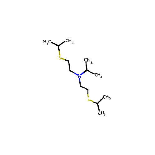 CC(C)SCCN(CCSC(C)C)C(C)C